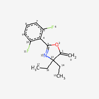 C=C1OC(c2c(F)cccc2F)=NC1(CC)CC